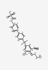 CC(C)(c1ccc(-c2ccc(CNS(C)(=O)=O)nn2)cc1)c1cc(Cl)c(OCCCl)c(C#N)c1